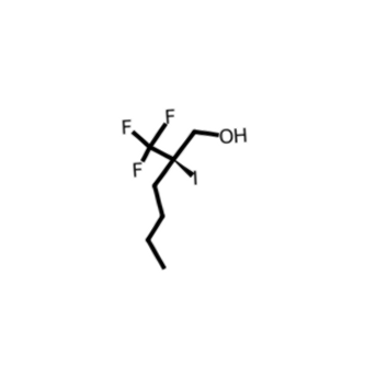 CCCC[C@@](I)(CO)C(F)(F)F